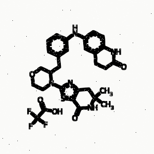 CC1(C)Cc2nc(N3CCOCC3Cc3cccc(Nc4ccc5c(c4)CCC(=O)N5)c3)sc2C(=O)N1.O=C(O)C(F)(F)F